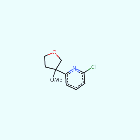 COC1(c2cccc(Cl)n2)CCOC1